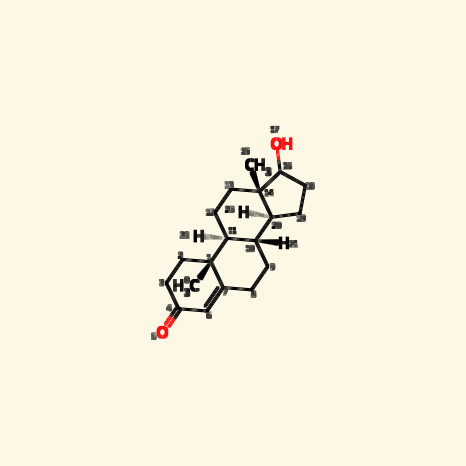 C[C@]12CCC(=O)C=C1CC[C@@H]1[C@@H]2CC[C@]2(C)C(O)CC[C@@H]12